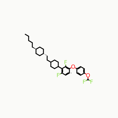 CCCCC[C@H]1CC[C@H](CCC2CCC(c3c(F)c[c]c(Oc4ccc(OC(F)F)cc4)c3F)CC2)CC1